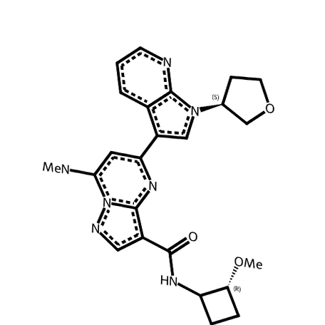 CNc1cc(-c2cn([C@H]3CCOC3)c3ncccc23)nc2c(C(=O)NC3CC[C@H]3OC)cnn12